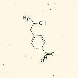 CC(O)Cc1ccc([SH](=O)=O)cc1